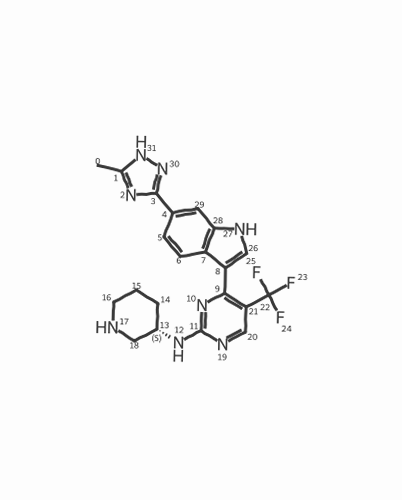 Cc1nc(-c2ccc3c(-c4nc(N[C@H]5CCCNC5)ncc4C(F)(F)F)c[nH]c3c2)n[nH]1